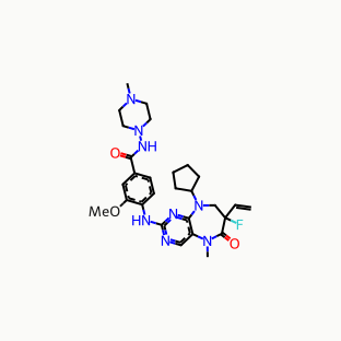 C=CC1(F)CN(C2CCCC2)c2nc(Nc3ccc(C(=O)NN4CCN(C)CC4)cc3OC)ncc2N(C)C1=O